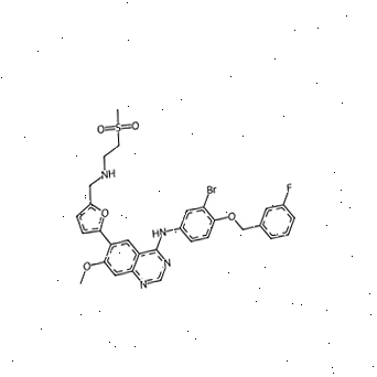 COc1cc2ncnc(Nc3ccc(OCc4cccc(F)c4)c(Br)c3)c2cc1-c1ccc(CNCCS(C)(=O)=O)o1